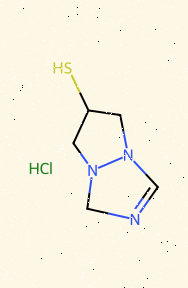 Cl.SC1CN2C=NCN2C1